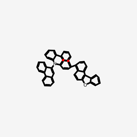 c1ccc(-c2ccccc2N(c2ccc(-c3cccc4c3ccc3oc5ccccc5c34)cc2)c2cc3ccccc3c3ccccc23)cc1